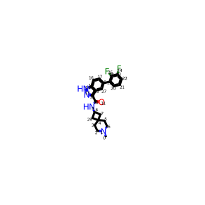 CN1CCC2(CC1)CC(NC(=O)c1n[nH]c3ccc(-c4cccc(F)c4F)cc13)C2